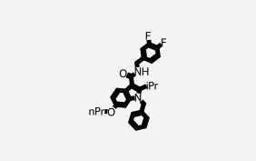 CCCOc1ccc2c(C(=O)NCc3ccc(F)c(F)c3)c(C(C)C)n(Cc3ccccc3)c2c1